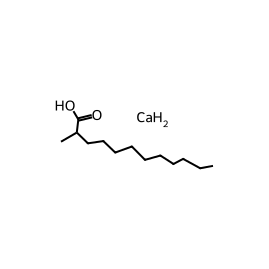 CCCCCCCCCCC(C)C(=O)O.[CaH2]